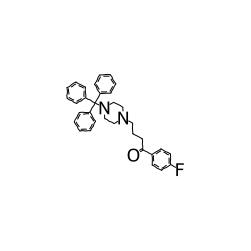 O=C(CCCN1CCN(C(c2ccccc2)(c2ccccc2)c2ccccc2)CC1)c1ccc(F)cc1